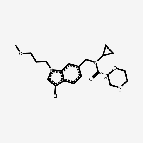 COCCCn1cc(Cl)c2ccc(CN(C(=O)[C@H]3CNCCO3)C3CC3)cc21